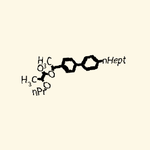 CCCCCCCc1ccc(-c2ccc(C(C)OC(=O)C(C)OCCC)cc2)cc1